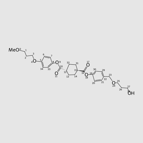 COCCCOc1ccc(OC(=O)[C@H]2CC[C@H](C(=O)Oc3ccc(COCCCO)cc3)CC2)cc1